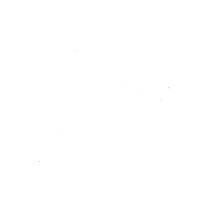 COc1cc(C(=O)N[C@@H](c2cc3ccccc3[nH]2)c2cc(F)ccc2O)cc(-c2ccc(N3CCC(N)CC3)cc2)c1